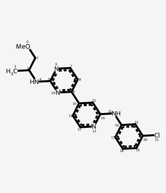 COCC(C)Nc1nccc(-c2ccnc(Nc3cccc(Cl)c3)c2)n1